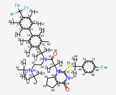 [2H]c1c([2H])c(C(F)(F)F)c([2H])c([2H])c1-c1c([2H])c([2H])c(C([2H])([2H])N(CCN(C([2H])([2H])C)C([2H])([2H])C)C(=O)C([2H])([2H])n2c(SC([2H])([2H])c3ccc(F)cc3)nc(=O)c3c2CCC3)c(C)c1[2H]